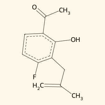 C=C(C)Cc1c(F)ccc(C(C)=O)c1O